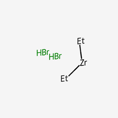 Br.Br.C[CH2][Zr][CH2]C